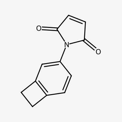 O=C1C=CC(=O)N1c1ccc2c(c1)CC2